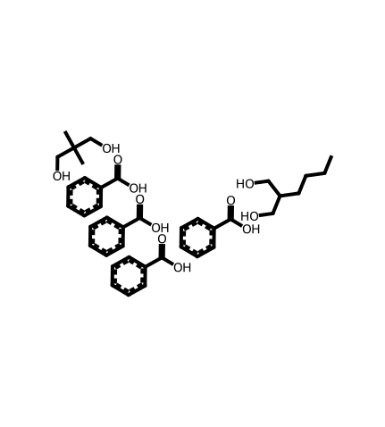 CC(C)(CO)CO.CCCCC(CO)CO.O=C(O)c1ccccc1.O=C(O)c1ccccc1.O=C(O)c1ccccc1.O=C(O)c1ccccc1